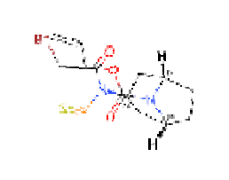 C=CCOC(=O)N1[C@@H]2CC[C@H]1C[C@H](N(P=S)C(=O)CBr)C2